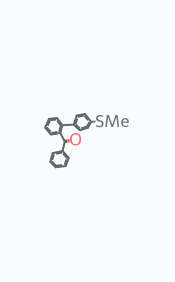 CSc1ccc(-c2ccccc2C(=O)c2ccccc2)cc1